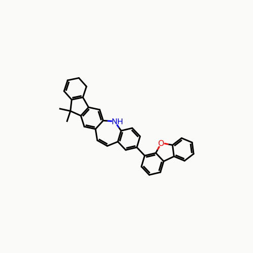 CC1(C)C2=C(CCC=C2)c2cc3c(cc21)C=Cc1cc(-c2cccc4c2oc2ccccc24)ccc1N3